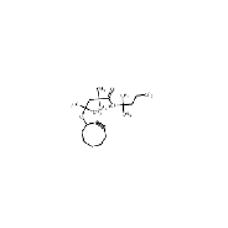 CCCC(C)(C)NC(=O)C(C)(C)CC(C)(C)OC1C#CCCCCC1